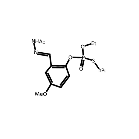 CCCSP(=O)(OCC)Oc1ccc(OC)cc1C=NNC(C)=O